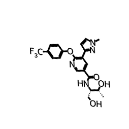 C[C@@H](O)[C@H](CO)NC(=O)c1cnc(Oc2ccc(C(F)(F)F)cc2)c(-c2ccn(C)n2)c1